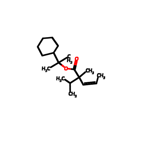 C/C=C\C(C)(C(=O)OC(C)(C)C1CCCCC1)C(C)C